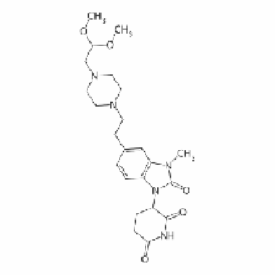 COC(CN1CCN(CCc2ccc3c(c2)n(C)c(=O)n3C2CCC(=O)NC2=O)CC1)OC